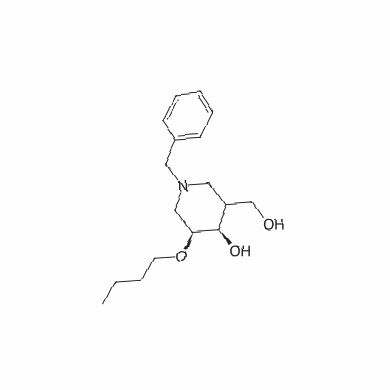 CCCCO[C@H]1CN(Cc2ccccc2)CC(CO)[C@H]1O